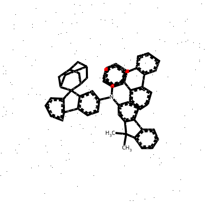 CC1(C)c2ccccc2-c2ccc(N(c3ccc4c(c3)C3(c5ccccc5-4)C4CC5CC(C4)CC3C5)c3ccccc3-c3ccccc3-c3ccccc3-c3ccccc3)cc21